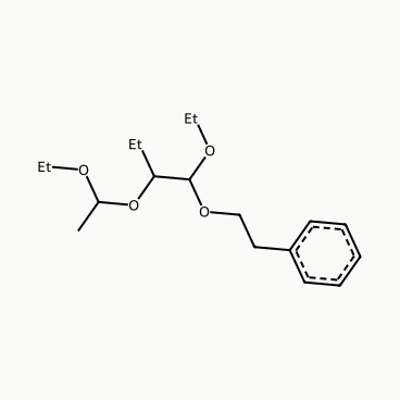 CCOC(C)OC(CC)C(OCC)OCCc1ccccc1